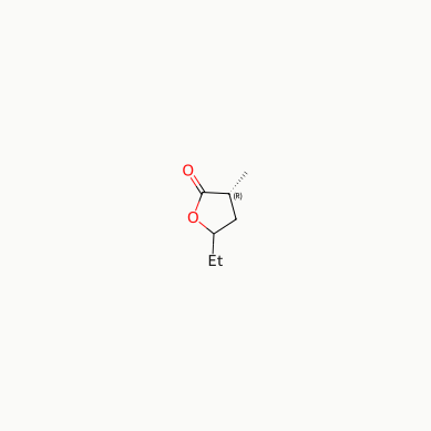 CCC1C[C@@H](C)C(=O)O1